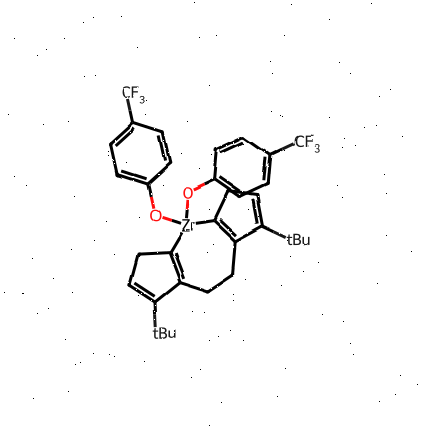 CC(C)(C)C1=CC[C]2=C1CCC1=[C](CC=C1C(C)(C)C)[Zr]2([O]c1ccc(C(F)(F)F)cc1)[O]c1ccc(C(F)(F)F)cc1